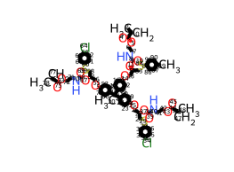 C=C(C)C(=O)OCCNC(=O)OC(COc1ccc(C(C)(c2ccc(OCC(CSc3ccc(Cl)cc3)OC(=O)NCCOC(=O)C(=C)C)cc2)c2ccc(OCC(CSc3ccc(Cl)cc3)OC(=O)NCCOC(=O)C(=C)C)cc2)cc1)CSc1ccc(C)cc1